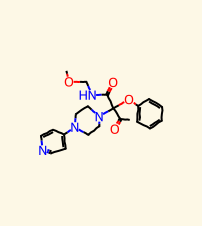 COCNC(=O)C(Oc1ccccc1)(C(C)=O)N1CCN(c2ccncc2)CC1